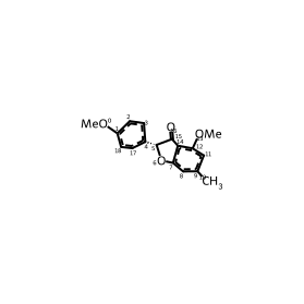 COc1ccc([C@H]2Oc3cc(C)cc(OC)c3C2=O)cc1